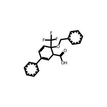 O=C(O)C1C=C(c2ccccc2)C=CC1(OCc1ccccc1)C(F)(F)F